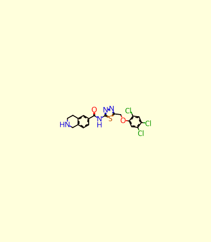 O=C(Nc1nnc(COc2cc(Cl)c(Cl)cc2Cl)s1)c1ccc2c(c1)CCNC2